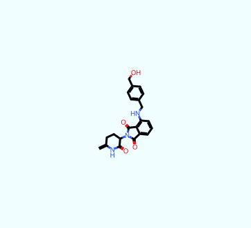 C=C1CCC(N2C(=O)c3cccc(NCc4ccc(CO)cc4)c3C2=O)C(=O)N1